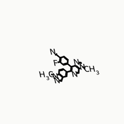 Cn1cnc2c(-c3ccc(C#N)c(F)c3)c(-c3ccc4c(cnn4C)c3)ncc21